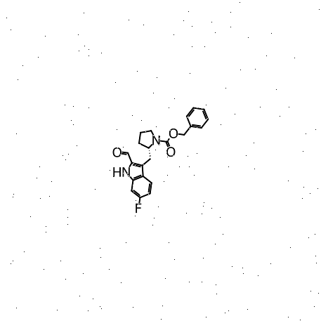 O=Cc1[nH]c2cc(F)ccc2c1C[C@@H]1CCCN1C(=O)OCc1ccccc1